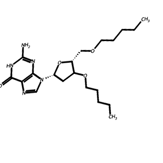 CCCCCOC[C@H]1O[C@@H](n2cnc3c(=O)[nH]c(N)nc32)CC1OCCCCC